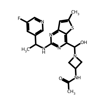 CC(=O)NC1CN(C(O)c2nc(NC(C)c3cncc(F)c3)nc3cc(C)sc23)C1